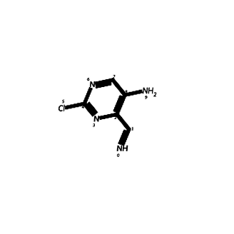 N=Cc1nc(Cl)ncc1N